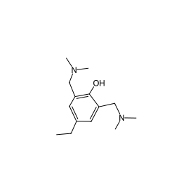 CCc1cc(CN(C)C)c(O)c(CN(C)C)c1